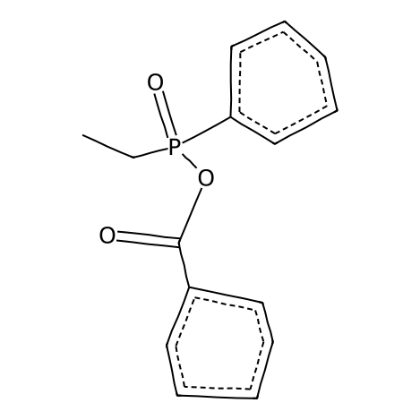 CCP(=O)(OC(=O)c1ccccc1)c1ccccc1